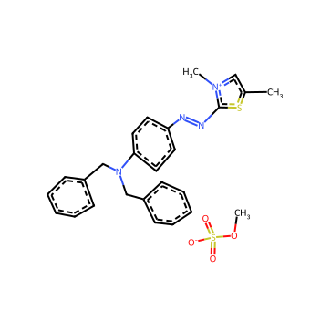 COS(=O)(=O)[O-].Cc1c[n+](C)c(N=Nc2ccc(N(Cc3ccccc3)Cc3ccccc3)cc2)s1